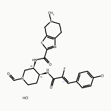 CN1CCc2nc(C(=O)N[C@@H]3CN(C=O)CC[C@@H]3NC(=O)/C(F)=C/c3ccc(Cl)cc3)sc2C1.Cl